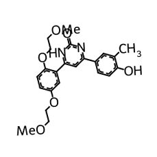 COCCOc1ccc(OCCOC)c(-c2cc(-c3ccc(O)c(C)c3)nc(=O)[nH]2)c1